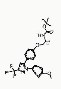 COc1ccc(-n2nc(C(F)(F)F)cc2-c2ccc(OC[C@H](C)NC(=O)OC(C)(C)C)cc2)cc1